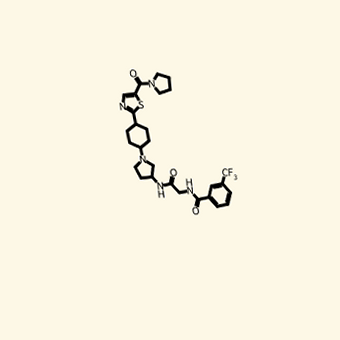 O=C(CNC(=O)c1cccc(C(F)(F)F)c1)NC1CCN(C2CCC(c3ncc(C(=O)N4CCCC4)s3)CC2)C1